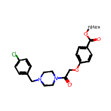 CCCCCCOC(=O)c1ccc(OCC(=O)N2CCN(Cc3ccc(Cl)cc3)CC2)cc1